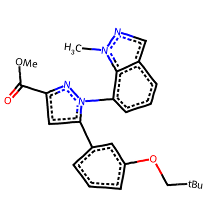 COC(=O)c1cc(-c2cccc(OCC(C)(C)C)c2)n(-c2cccc3cnn(C)c23)n1